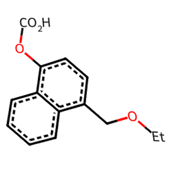 CCOCc1ccc(OC(=O)O)c2ccccc12